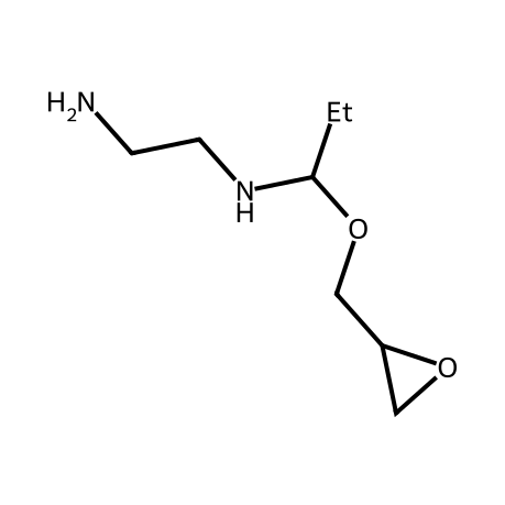 CCC(NCCN)OCC1CO1